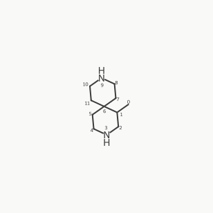 CC1CNCCC12CCNCC2